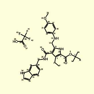 CCc1c(C(=O)OC(C)(C)C)[nH]c(CNc2ccc(OC)cc2)c1C(=O)NCc1ccc2cc[nH]c2c1.O=C(O)C(F)(F)F